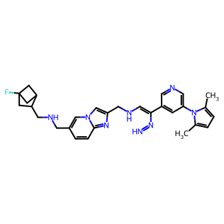 Cc1ccc(C)n1-c1cncc(/C(=C/NCc2cn3cc(CNCC4CC5(F)CC4C5)ccc3n2)N=N)c1